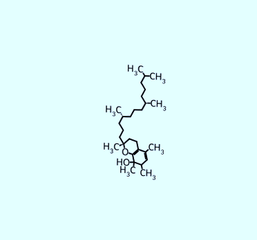 CC1=CC(C)C(C)(O)C2=C1CC[C@@](C)(CCC[C@H](C)CCC[C@H](C)CCCC(C)C)O2